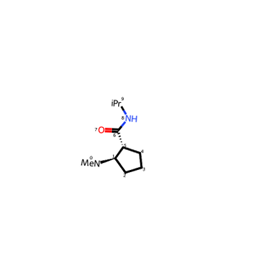 CN[C@@H]1CCC[C@H]1C(=O)NC(C)C